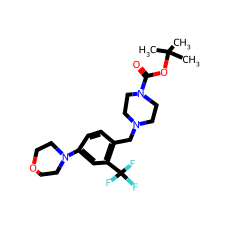 CC(C)(C)OC(=O)N1CCN(Cc2ccc(N3CCOCC3)cc2C(F)(F)F)CC1